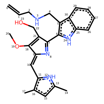 C=CCNCc1c(C2=N/C(=C\c3[nH]c(C)cc3C)C(OC)=C2CO)[nH]c2ccccc12